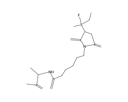 C=C(CCCCCN1C(=C)CC(S(C)(F)CC)C1=C)NC(C)C(=C)C